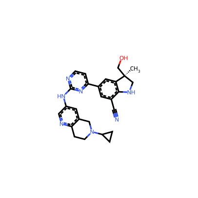 C[C@]1(CO)CNc2c(C#N)cc(-c3ccnc(Nc4cnc5c(c4)CN(C4CC4)CC5)n3)cc21